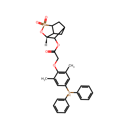 Cc1cc([SH](c2ccccc2)c2ccccc2)cc(C)c1OCC(=O)OC1C2CC3C(C2)S(=O)(=O)O[C@H]31